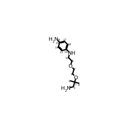 CC(C)(CN)OCCOCCNc1ccc(N)cc1